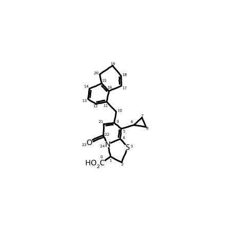 O=C(O)C1CSc2c(C3CC3)c(Cc3cccc4c3C=CCC4)cc(=O)n21